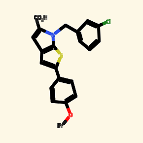 CC(C)Oc1ccc(-c2cc3cc(C(=O)O)n(Cc4cccc(Cl)c4)c3s2)cc1